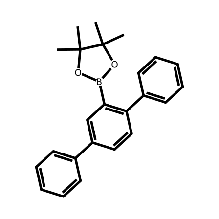 CC1(C)OB(c2cc(-c3ccccc3)ccc2-c2ccccc2)OC1(C)C